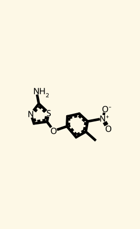 Cc1cc(Oc2cnc(N)s2)ccc1[N+](=O)[O-]